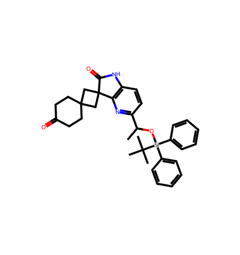 CC(O[Si](c1ccccc1)(c1ccccc1)C(C)(C)C)c1ccc2c(n1)C1(CC3(CCC(=O)CC3)C1)C(=O)N2